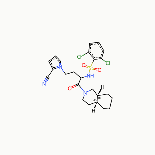 N#Cc1cccn1CCC(NS(=O)(=O)c1c(Cl)cccc1Cl)C(=O)N1CC[C@H]2CCCC[C@H]2C1